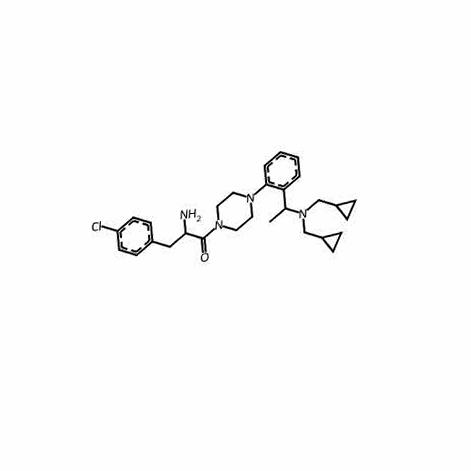 CC(c1ccccc1N1CCN(C(=O)C(N)Cc2ccc(Cl)cc2)CC1)N(CC1CC1)CC1CC1